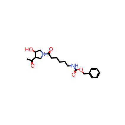 CC(=O)C1CN(C(=O)CCCCCNC(=O)OCc2ccccc2)CC1O